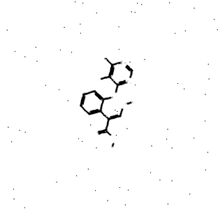 CO/C=C(/C(=O)OC)c1ccccc1Oc1ncnc(Cl)c1F